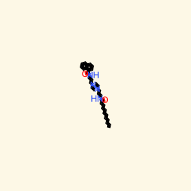 CCCCCCCCCCCC(=O)NCCCN1CCN(CCCNC(=O)c2cccc3ccccc23)CC1